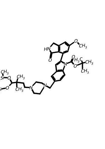 COc1cc2c(c(-c3cc4cc(CN5CCN(CCC(C)(C)C(O[SiH2]C)O[SiH2]C)CC5)ccc4n3C(=O)OC(C)(C)C)c1)C(=O)NC2